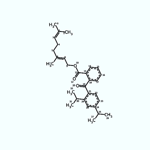 CC(C)=CCC/C(C)=C/COC(=O)c1ccccc1C(=O)c1ccc(C(C)C)cc1C(C)C